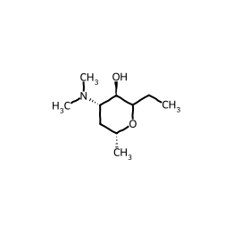 CCC1O[C@H](C)C[C@H](N(C)C)[C@H]1O